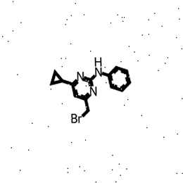 BrCc1cc(C2CC2)nc(Nc2ccccc2)n1